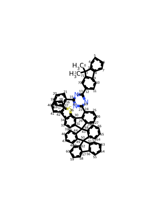 CC1(C)c2ccccc2-c2ccc(-c3nc(-c4ccccc4)nc(-c4cccc5c4-c4c(ccc6c4sc4ccccc46)C54c5ccccc5C5(c6ccccc6-c6ccccc65)c5ccccc54)n3)cc21